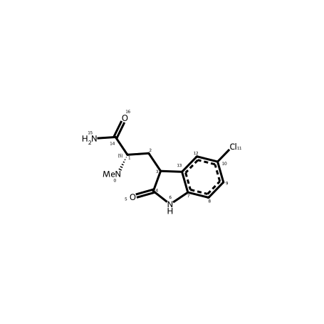 CN[C@@H](CC1C(=O)Nc2ccc(Cl)cc21)C(N)=O